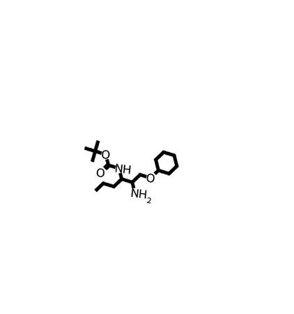 CCCC(NC(=O)OC(C)(C)C)C(N)COC1CCCCC1